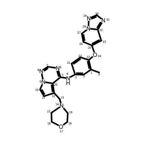 Cc1cc(Nc2ncnn3ccc(CN4CCOCC4)c23)ccc1Oc1ccn2ncnc2c1